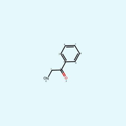 O=NCC(=O)c1ccccc1